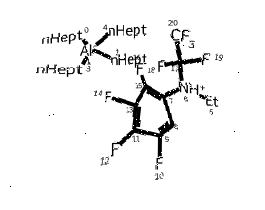 CCCCCC[CH2][Al-]([CH2]CCCCCC)([CH2]CCCCCC)[CH2]CCCCCC.CC[NH+](c1cc(F)c(F)c(F)c1F)C(F)(F)C(F)(F)F